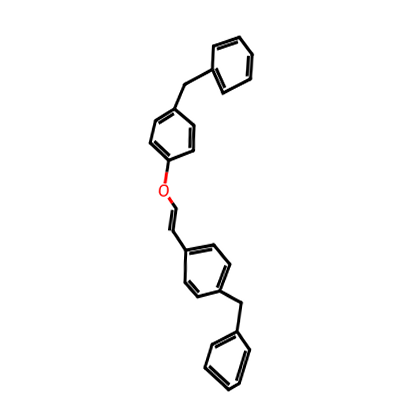 C(=Cc1ccc(Cc2ccccc2)cc1)Oc1ccc(Cc2ccccc2)cc1